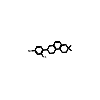 CCCCc1cc(C#N)ccc1C1CCc2c(ccc3c2CCC(C)(C)C3)C1